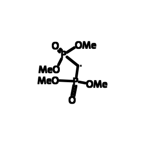 COP(=O)([CH]P(=O)(OC)OC)OC